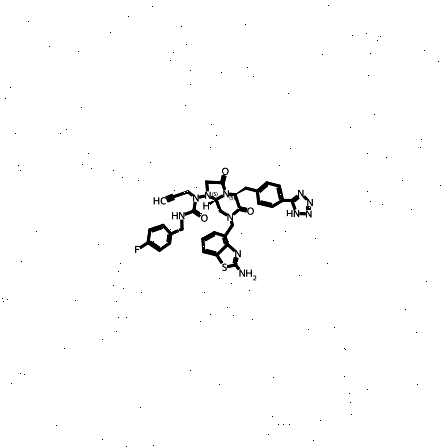 C#CCN(C(=O)NCc1ccc(F)cc1)N1CC(=O)N2[C@@H](Cc3ccc(-c4nnn[nH]4)cc3)C(=O)N(Cc3cccc4sc(N)nc34)C[C@@H]21